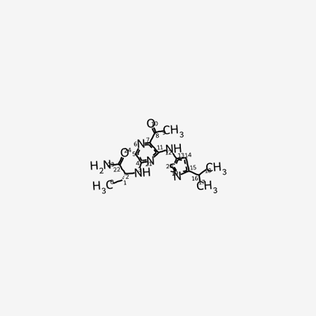 CC[C@@H](Nc1cnc(C(C)=O)c(Nc2cc(C(C)C)ns2)n1)C(N)=O